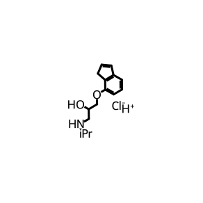 CC(C)NCC(O)COc1cccc2c1CC=C2.[Cl-].[H+]